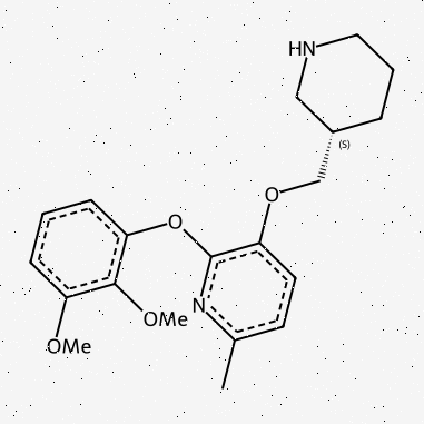 COc1cccc(Oc2nc(C)ccc2OC[C@H]2CCCNC2)c1OC